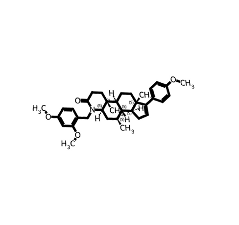 COc1ccc(C2=CC[C@H]3[C@@H]4[C@@H](C)C[C@H]5N(Cc6ccc(OC)cc6OC)C(=O)CC[C@]5(C)[C@H]4CC[C@]23C)cc1